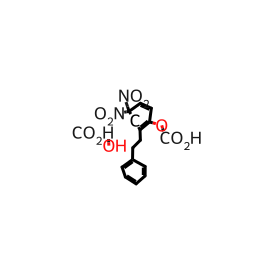 O=C(O)O.O=C(O)OC1=C(CCc2ccccc2)CC([N+](=O)[O-])([N+](=O)[O-])C=C1